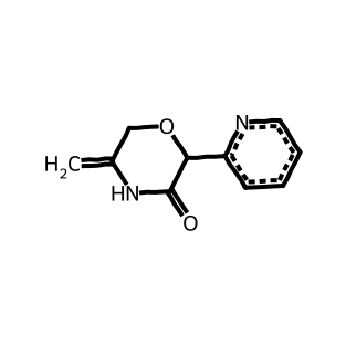 C=C1COC(c2ccccn2)C(=O)N1